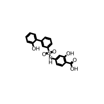 O=C(O)c1ccc(NS(=O)(=O)c2cccc(-c3ccccc3O)c2)cc1O